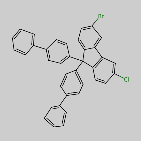 Clc1ccc2c(c1)-c1cc(Br)ccc1C2(c1ccc(-c2ccccc2)cc1)c1ccc(-c2ccccc2)cc1